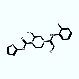 CCCC1CN(/C(=N\C#N)Nc2ccccc2C)CCN1C(=O)Nc1cccs1